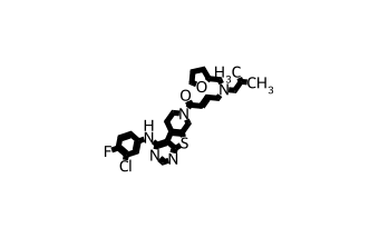 CC(C)CN(C/C=C/C(=O)N1CCc2c(sc3ncnc(Nc4ccc(F)c(Cl)c4)c23)C1)CC1CCCO1